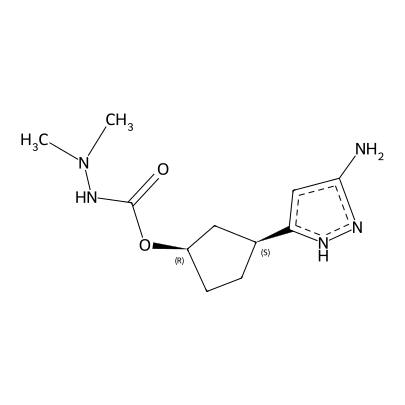 CN(C)NC(=O)O[C@@H]1CC[C@H](c2cc(N)n[nH]2)C1